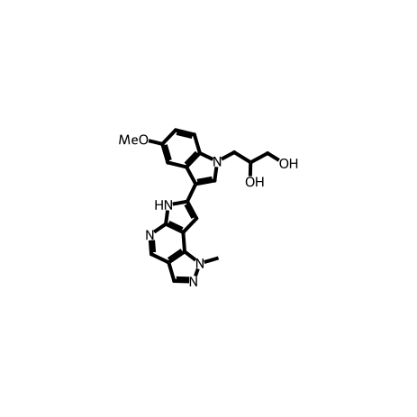 COc1ccc2c(c1)c(-c1cc3c(ncc4cnn(C)c43)[nH]1)cn2CC(O)CO